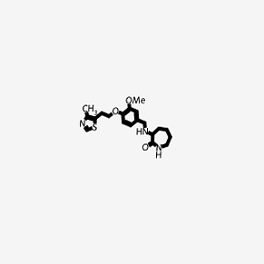 COc1cc(CNC2CCCCNC2=O)ccc1OCCc1scnc1C